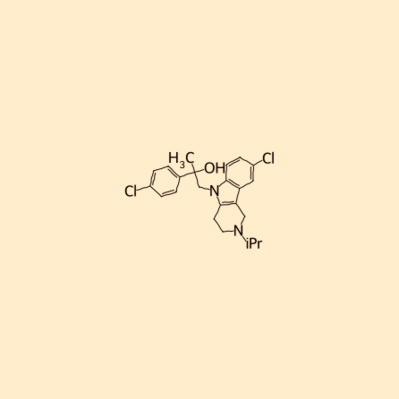 CC(C)N1CCc2c(c3cc(Cl)ccc3n2CC(C)(O)c2ccc(Cl)cc2)C1